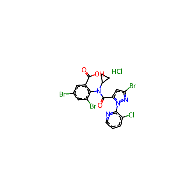 Cl.O=C(O)c1cc(Br)cc(Br)c1N(C(=O)c1cc(Br)nn1-c1ncccc1Cl)C1CC1